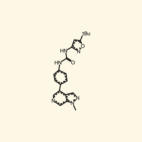 Cn1ncc2c(-c3ccc(NC(=O)Nc4cc(C(C)(C)C)on4)cc3)cncc21